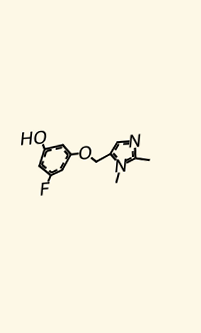 Cc1ncc(COc2cc(O)cc(F)c2)n1C